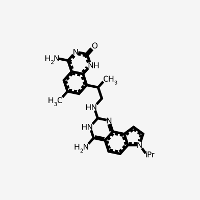 Cc1cc(C(C)CNC2N=c3c(ccc4c3ccn4C(C)C)=C(N)N2)c2[nH]c(=O)nc(N)c2c1